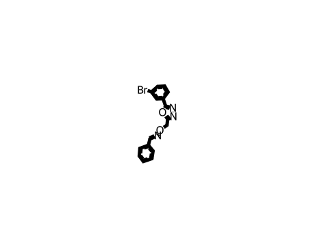 Brc1cccc(-c2nnc(CON=Cc3ccccc3)o2)c1